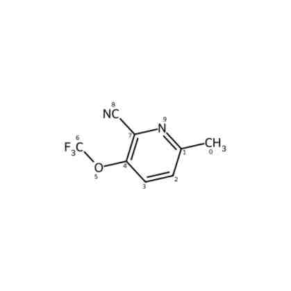 Cc1ccc(OC(F)(F)F)c(C#N)n1